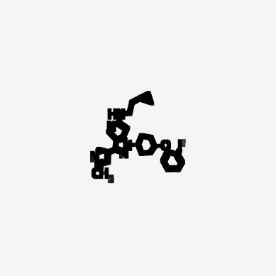 Cn1cc(-c2nn([C@H]3CC[C@@H](Oc4ccccc4F)CC3)c3cc(NCCC4CC4)ncc23)cn1